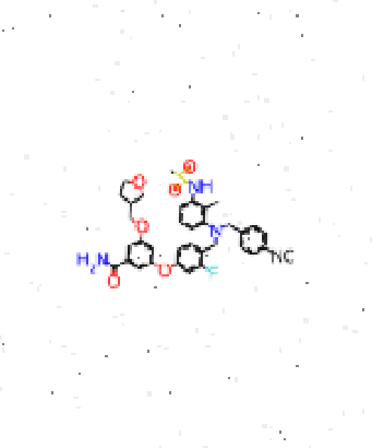 [C-]#[N+]c1ccc(CN(Cc2ccc(Oc3cc(OCC4CCOC4)cc(C(N)=O)c3)cc2F)c2cccc(NS(C)(=O)=O)c2C)cc1